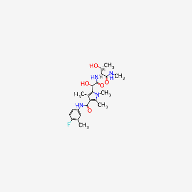 CNC(=O)[C@H](NC(=O)C(O)c1c(C)c(C(=O)Nc2ccc(F)c(C)c2)c(C)n1C)[C@@H](C)O